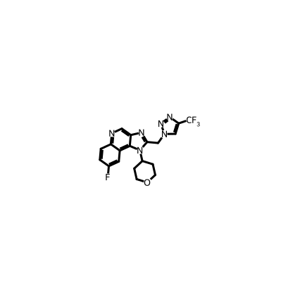 Fc1ccc2ncc3nc(Cn4cc(C(F)(F)F)nn4)n(C4CCOCC4)c3c2c1